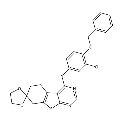 Clc1cc(Nc2ncnc3sc4c(c23)CCC2(C4)OCCO2)ccc1OCc1ccccc1